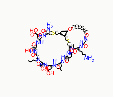 CCCCN1CC(=O)N[C@@H]([C@@H](C)O)C(=O)N[C@@H](CCC(=O)O)C(=O)N[C@H](C(N)=O)CSCc2cc3cc(c2)OCCCCCCO/N=C/C(=O)N[C@@H](CCCCN)C(=O)N[C@@H](CSC3)C(=O)N2CCC[C@H]2C(=O)N[C@@H](CC(C)C)C(=O)N[C@@H](CC(=O)O)C(=O)N[C@@H]([C@@H](C)O)C1=O